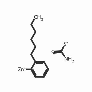 CCCCCCc1cccc[c]1[Zn+].NC(=S)[S-]